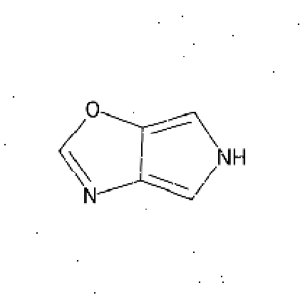 c1nc2c[nH]cc2o1